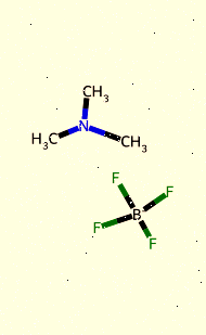 CN(C)C.F[B-](F)(F)F